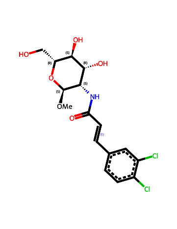 CO[C@H]1O[C@H](CO)[C@@H](O)[C@H](O)[C@@H]1NC(=O)/C=C/c1ccc(Cl)c(Cl)c1